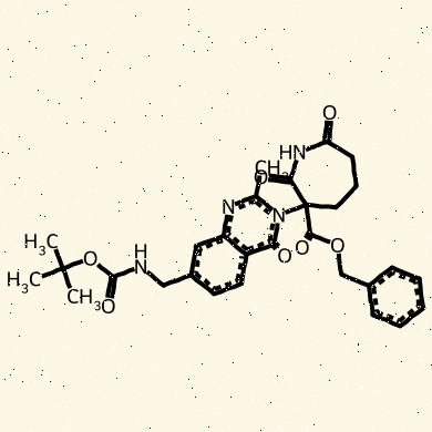 Cc1nc2cc(CNC(=O)OC(C)(C)C)ccc2c(=O)n1C1(C(=O)OCc2ccccc2)CCCC(=O)NC1=O